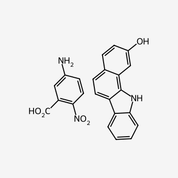 Nc1ccc([N+](=O)[O-])c(C(=O)O)c1.Oc1ccc2ccc3c4ccccc4[nH]c3c2c1